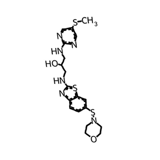 CSc1cnc(NCC(O)CNc2nc3ccc(SN4CCOCC4)cc3s2)nc1